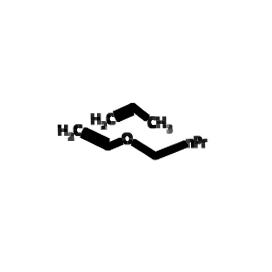 C=CC.C=COCCCC